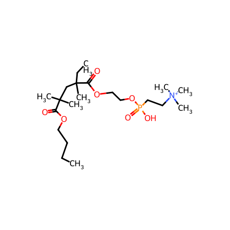 CCCCOC(=O)C(C)(C)CC(C)(CC)C(=O)OCCOP(=O)(O)CC[N+](C)(C)C